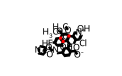 COc1ccc([C@H](Cc2c(Cl)c[n+](O)cc2Cl)c2cc(CN(C(=O)O[C@H]3CN4CCC3CC4)c3c(O)cccc3F)ccc2C(=O)[O-])cc1OC